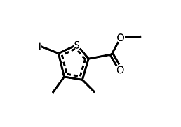 COC(=O)c1sc(I)c(C)c1C